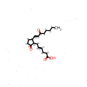 CCCCCC(=O)/C=C/C1CCC(=O)C1C/C=C/CCC(=O)O